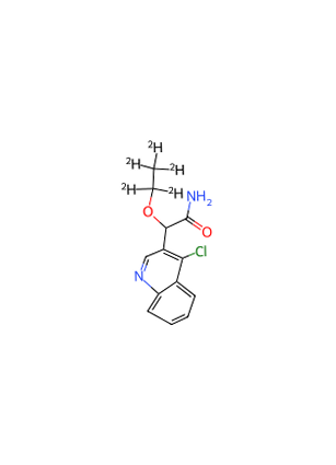 [2H]C([2H])([2H])C([2H])([2H])OC(C(N)=O)c1cnc2ccccc2c1Cl